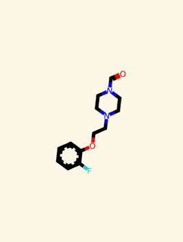 O=CN1CCN(CCOc2ccccc2F)CC1